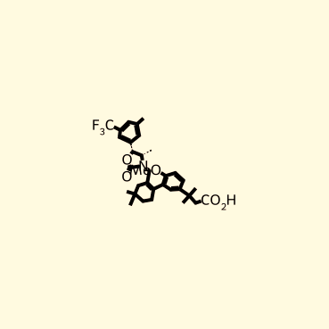 COc1ccc(C(C)(C)CC(=O)O)cc1C1=C(CN2C(=O)O[C@H](c3cc(C)cc(C(F)(F)F)c3)[C@@H]2C)CC(C)(C)CC1